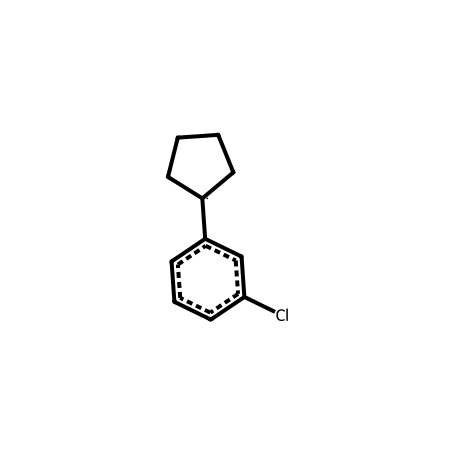 Clc1cccc([C]2CCCC2)c1